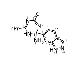 CCCC1=NC(Cl)=NC(N)(c2ccc3cn[nH]c3c2)N1